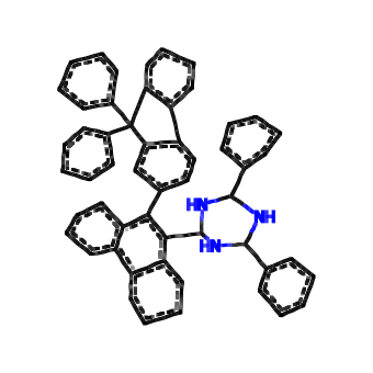 c1ccc(C2NC(c3ccccc3)NC(c3c(-c4ccc5c(c4)C(c4ccccc4)(c4ccccc4)c4ccccc4-5)c4ccccc4c4ccccc34)N2)cc1